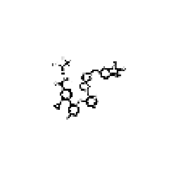 NC(=O)c1ccc(-c2cc(F)ccc2Oc2cncnc2N2CCC3(CCN(Cc4ccc5[nH]c(=O)[nH]c5c4)C3)C2)c(C2CC2)c1.O=C(O)C(F)(F)F